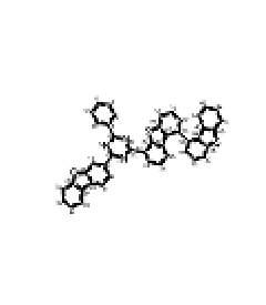 c1ccc(-c2nc(-c3ccc4c(c3)oc3ccccc34)nc(-c3cccc4c3sc3cccc(-c5cccc6sc7ccccc7c56)c34)n2)cc1